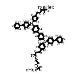 CCCCCCC(C)(C)OCCOC(=O)CCc1ccc(N(c2ccc(-c3ccccc3)cc2)c2ccc(-c3ccc(N(c4ccc(CCC(=O)C(C)(C)CCCCCC)cc4)c4ccc(-c5ccccc5)cc4)cc3)cc2)cc1